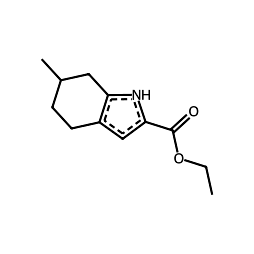 CCOC(=O)c1cc2c([nH]1)CC(C)CC2